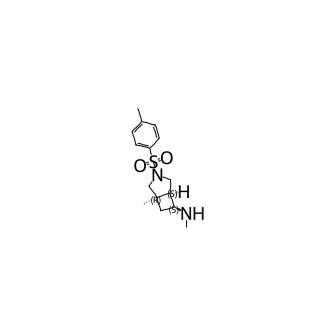 CN[C@H]1C[C@@]2(C)CN(S(=O)(=O)c3ccc(C)cc3)C[C@@H]12